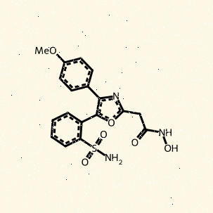 COc1ccc(-c2nc(CC(=O)NO)oc2-c2ccccc2S(N)(=O)=O)cc1